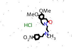 COc1cc2c(cc1OC)CC(=O)N(CCCN(C)CCc1ccc([N+](=O)[O-])cc1)CC2.Cl